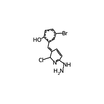 NNC1=NC(Cl)C(=Cc2cc(Br)ccc2O)C=C1